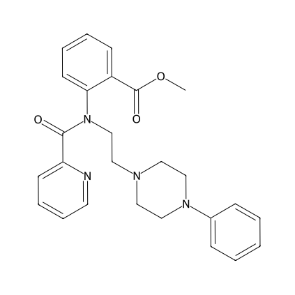 COC(=O)c1ccccc1N(CCN1CCN(c2ccccc2)CC1)C(=O)c1ccccn1